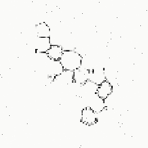 CN1C(=O)[C@@H](NC(=O)c2cc(Oc3ccccc3)ccc2F)COc2cc(N3CCCC3)c(F)cc21